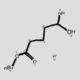 CCCCOC(=O)CCCC(O)CCC.[H+]